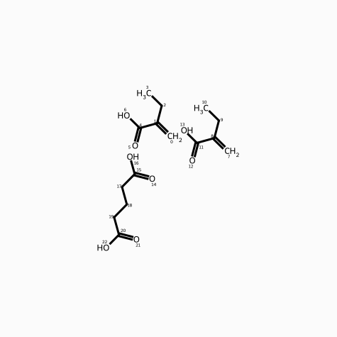 C=C(CC)C(=O)O.C=C(CC)C(=O)O.O=C(O)CCCC(=O)O